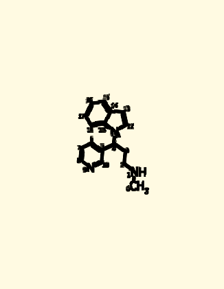 CNCCC(c1cccnc1)n1ccc2ccccc21